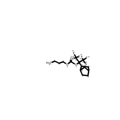 CCCCOC(=O)OC(C1CC2CCC1C2)(C(F)(F)F)C(F)(F)F